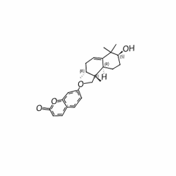 C[C@@H]1CC=C2[C@@H](CC[C@H](O)C2(C)C)[C@]1(C)COc1ccc2ccc(=O)oc2c1